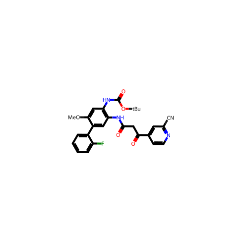 COc1cc(NC(=O)OC(C)(C)C)c(NC(=O)CC(=O)c2ccnc(C#N)c2)cc1-c1ccccc1F